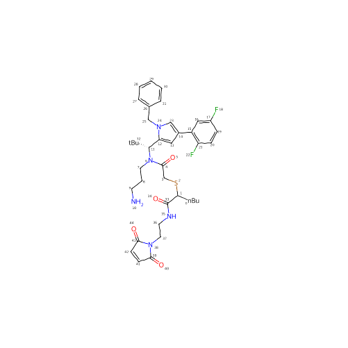 CCCCC(SCC(=O)N(CCCN)[C@@H](c1cc(-c2cc(F)ccc2F)cn1Cc1ccccc1)C(C)(C)C)C(=O)NCCN1C(=O)C=CC1=O